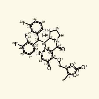 Cc1oc(=O)oc1COc1c2n(ncc1=O)[C@@H](C(c1cccc(F)c1)c1cccc(F)c1F)[C@H]1CCCN1C2=O